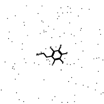 CC(=O)CCc1c(F)c(F)c(F)c(F)c1F